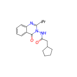 CC(C)c1nc2ccccc2c(=O)n1NC(=O)CC1CCCC1